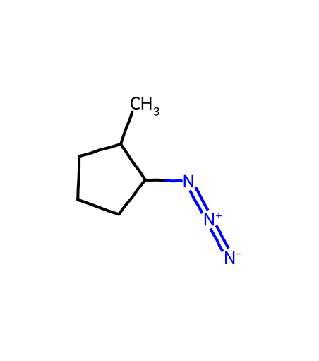 CC1CCCC1N=[N+]=[N-]